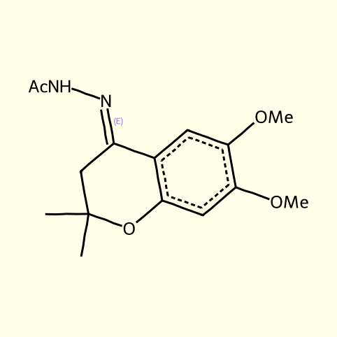 COc1cc2c(cc1OC)/C(=N/NC(C)=O)CC(C)(C)O2